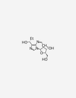 C/C=N\c1c([C@H](O)CC)ncn1[C@H]1C[C@H](O)[C@@H](CO)O1